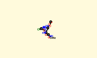 COC(=O)Nc1ccc(-c2cc([C@H](Cc3ccc(NC(=O)OCc4ccccc4)cc3)NC(=O)C=Cc3cc(Cl)ccc3-n3cnnn3)n[nH]c2=O)cc1